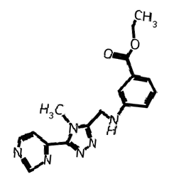 CCOC(=O)c1cccc(NCc2nnc(-c3ccncn3)n2C)c1